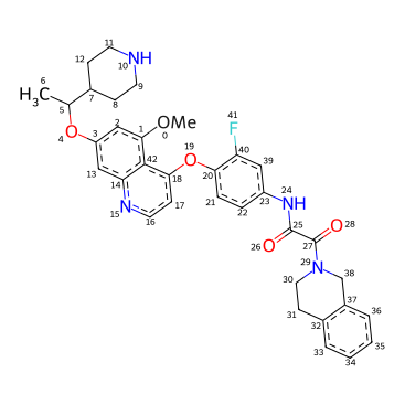 COc1cc(OC(C)C2CCNCC2)cc2nccc(Oc3ccc(NC(=O)C(=O)N4CCc5ccccc5C4)cc3F)c12